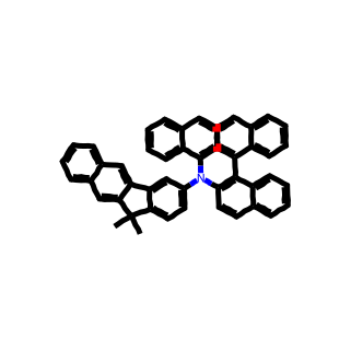 CC1(C)c2ccc(N(c3ccc4ccccc4c3-c3cccc4ccccc34)c3cccc4ccccc34)cc2-c2cc3ccccc3cc21